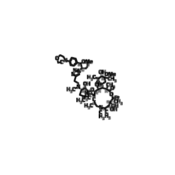 CC[C@H]1OC(=O)[C@H](C)C([C@H]2C[C@@](C)(OC)[C@@H](O)[C@H](C)O2)[C@H](C)[C@@H](O[C@@H]2O[C@H](C)C[C@H](N(C)CCc3cn([C@H](CF)[C@H](OC)c4ccc(N5CCOCC5)cc4)nn3)[C@H]2O)[C@](C)(O)C[C@@H](C)CN(C)[C@H](C)[C@@H](O)[C@]1(C)O